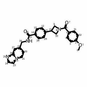 COc1ccc(C(=O)N2CC(c3ccc(C(=O)NCc4ccn5ccnc5c4)cc3)C2)cc1